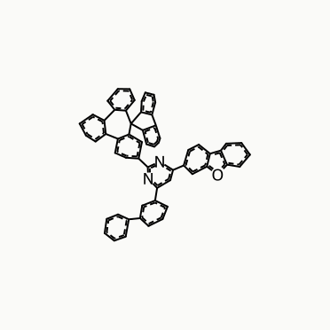 c1ccc(-c2cccc(-c3cc(-c4ccc5c(c4)oc4ccccc45)nc(-c4ccc5c(c4)C4(c6ccccc6-c6ccccc6-5)c5ccccc5-c5ccccc54)n3)c2)cc1